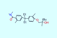 CCC(CC)(c1ccc(OCC(C)(O)C(C)(C)C)c(C)c1)c1ccc(C(=O)N(C)C)c(C)c1